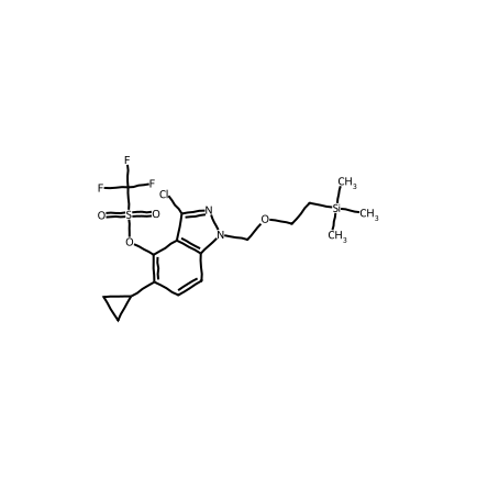 C[Si](C)(C)CCOCn1nc(Cl)c2c(OS(=O)(=O)C(F)(F)F)c(C3CC3)ccc21